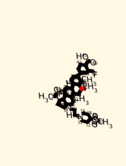 C=C(C)[C@@H]1CC[C@]2(NCCN3CCC(S(C)(=O)=O)CC3)CC[C@]3(C)[C@H](CC[C@@H]4[C@@]5(C)CC=C(C6=CC(CF)C(C(=O)O)CC6)C(C)(C)[C@@H]5CC[C@]43C)[C@@H]12